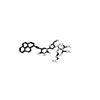 [2H]CC1OC(n2cc(C#Cc3ccc4ccc5cccc6ccc3c4c56)c(=O)[nH]c2=O)C[C@H]1OP(O/C=N/CC)N(C(C)C)C(C)C